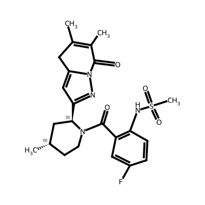 CC1=C(C)C(=O)n2nc([C@@H]3C[C@@H](C)CCN3C(=O)c3cc(F)ccc3NS(C)(=O)=O)cc2C1